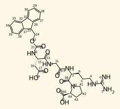 N=C(N)NCCC[C@H](NC(=O)CNC(=O)[C@H](CC(=O)O)NC(=O)OCC1c2ccccc2-c2ccccc21)C(=O)N1CCC[C@H]1C(=O)O